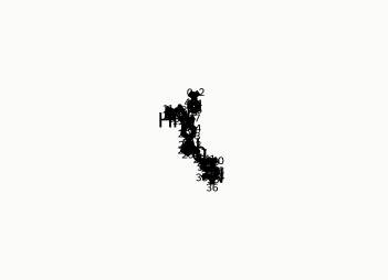 C=C(C)c1cccc(N(CC2CCC2)C(=N)C(C)N2CCC(c3cccc(OCc4ccc(/C=N\C(C)CC)c(C)c4)n3)CC2)c1